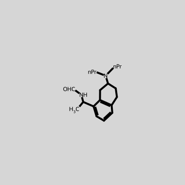 CCCN(CCC)C1CCc2cccc(C(C)NC=O)c2C1